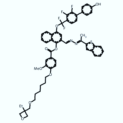 CCC1(COCCCCCCOc2ccc(C(=O)Oc3c(/C=N/N=C(\C)c4cc5ccccc5s4)cc(OC(F)(F)c4ccc(-c5ccc(O)cc5)c(F)c4F)c4ccccc34)cc2OC)COC1